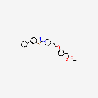 CCOC(=O)Cc1cccc(OCCC2CCN(c3nc4ccc(-c5ccccc5)cc4s3)CC2)c1